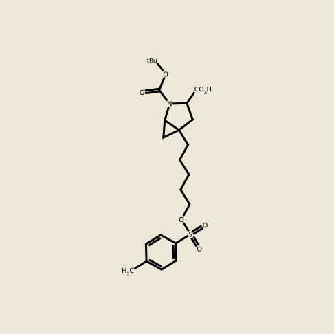 Cc1ccc(S(=O)(=O)OCCCCCC23CC(C(=O)O)N(C(=O)OC(C)(C)C)C2C3)cc1